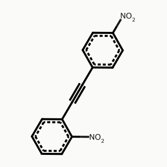 O=[N+]([O-])c1ccc(C#Cc2ccccc2[N+](=O)[O-])cc1